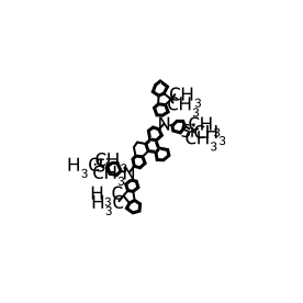 CC1(C)c2ccccc2-c2ccc(N(c3ccc([Si](C)(C)C)cc3)c3ccc4c(c3)CCc3c-4c4ccccc4c4cc(N(c5ccc([Si](C)(C)C)cc5)c5ccc6c(c5)C(C)(C)c5ccccc5-6)ccc34)cc21